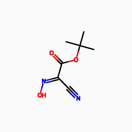 CC(C)(C)OC(=O)/C(C#N)=N/O